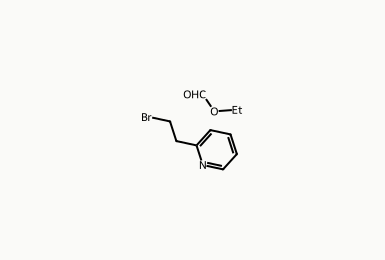 BrCCc1ccccn1.CCOC=O